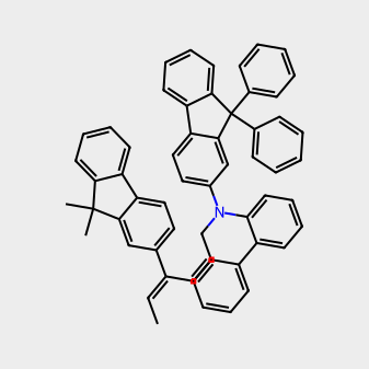 C/C=C(\C=C/CN(c1ccc2c(c1)C(c1ccccc1)(c1ccccc1)c1ccccc1-2)c1ccccc1-c1ccccc1)c1ccc2c(c1)C(C)(C)c1ccccc1-2